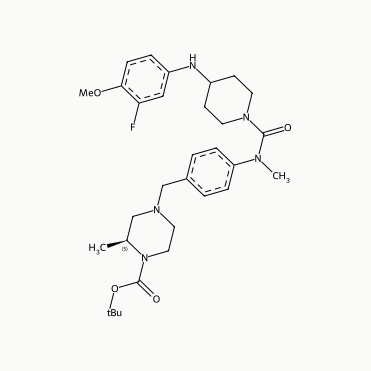 COc1ccc(NC2CCN(C(=O)N(C)c3ccc(CN4CCN(C(=O)OC(C)(C)C)[C@@H](C)C4)cc3)CC2)cc1F